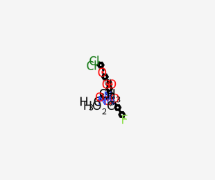 Cc1nc(C(=O)N2Cc3cc4c(cc3C[C@H]2C(=O)N[C@@H](Cc2ccc(-c3ccc(F)cc3)cc2)C(=O)O)OC[C@H](c2ccc(OCc3ccc(Cl)c(Cl)c3)cc2)O4)c(C)o1